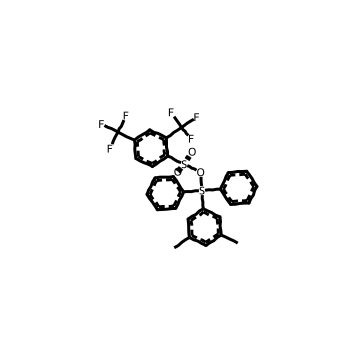 Cc1cc(C)cc(S(OS(=O)(=O)c2ccc(C(F)(F)F)cc2C(F)(F)F)(c2ccccc2)c2ccccc2)c1